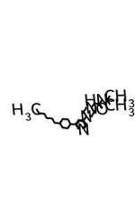 CCCCCCC1CCC(c2cncc(N3CCN(CC(=O)NC(C)C)CC3)c2)CC1